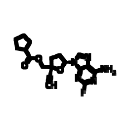 C#C[C@@]1(COC(=O)C2CCCC2)CC[C@H](n2cnc3c(N)nc(F)nc32)O1